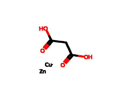 O=C(O)CC(=O)O.[Cu].[Zn]